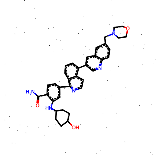 NC(=O)c1ccc(-c2nccc3c(-c4cnc5ccc(CN6CCOCC6)cc5c4)cccc23)cc1NC1CCC(O)CC1